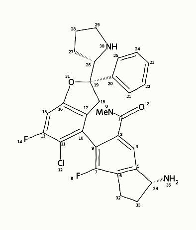 CNC(=O)c1cc2c(c(F)c1-c1c(Cl)c(F)cc3c1C[C@](c1ccccc1)([C@@H]1CCCN1)O3)CC[C@H]2N